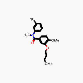 COCCCOc1cc(C(=O)N(C)c2cccc(C#N)c2)ccc1OC